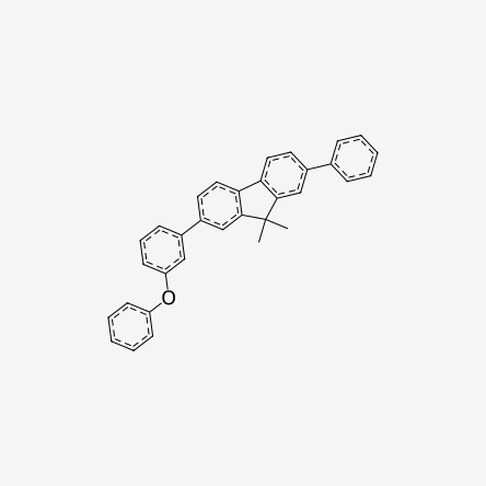 CC1(C)c2cc(-c3ccccc3)ccc2-c2ccc(-c3cccc(Oc4ccccc4)c3)cc21